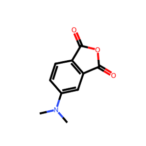 CN(C)c1ccc2c(c1)C(=O)OC2=O